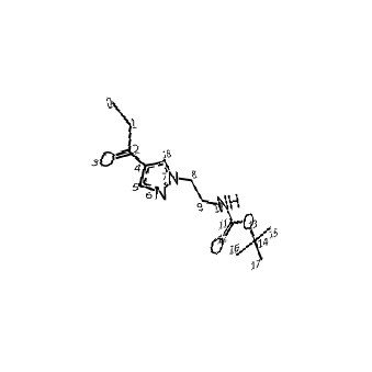 CCC(=O)c1cnn(CCNC(=O)OC(C)(C)C)c1